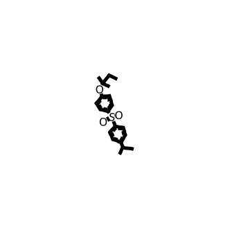 CCC(C)(C)Oc1ccc(S(=O)(=O)c2ccc(C(C)C)cc2)cc1